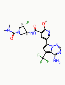 COc1ncc(-c2cc(C(F)(F)F)c3c(N)ncnn23)cc1C(=O)N[C@@H]1CN(C(=O)N(C)C)C[C@@H]1F